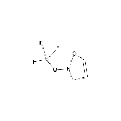 FC(F)(F)ON1CC=[C]O1